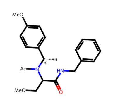 COCC(C(=O)NCc1ccccc1)N(C(C)=O)[C@@H](C)c1ccc(OC)cc1